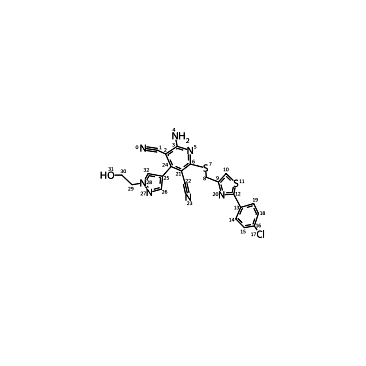 N#Cc1c(N)nc(SCc2csc(-c3ccc(Cl)cc3)n2)c(C#N)c1-c1cnn(CCO)c1